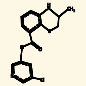 CC1CSc2c(cccc2C(=O)Oc2cncc(Cl)c2)N1